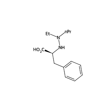 CCCN(CC)N[C@@H](Cc1ccccc1)C(=O)O